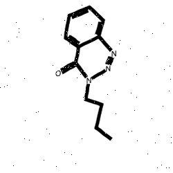 CCCCn1nnc2ccccc2c1=O